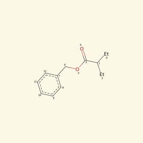 [CH2]CC(CC)C(=O)OCc1ccccc1